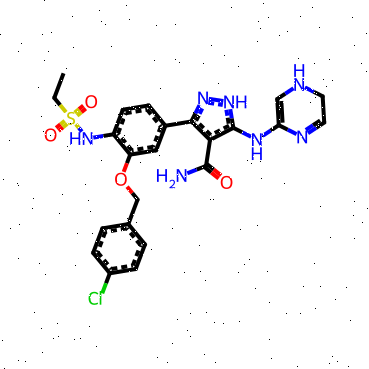 CCS(=O)(=O)Nc1ccc(-c2n[nH]c(NC3=CNCC=N3)c2C(N)=O)cc1OCc1ccc(Cl)cc1